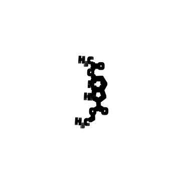 CCOC(=O)C1Cc2ccc(OC(C)=O)nc2N1